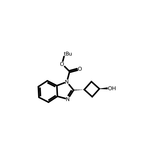 CC(C)(C)OC(=O)n1c2ccccc2nc1[C@H]1C[C@H](O)C1